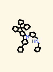 c1ccc(CNCc2cccc(-n3c4ccc(-c5ccccc5)cc4c4cc5c(cc43)C(c3ccccc3)(c3ccccc3)c3ccccc3-5)c2)cc1